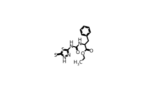 CCOC(=O)C(Cc1ccccc1)NC(=O)Nc1n[nH]c(=S)s1